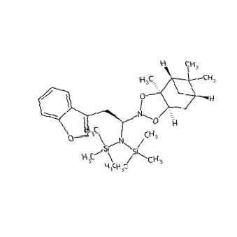 CC1(C)[C@@H]2C[C@H]3ON([C@H](Cc4coc5ccccc45)N([Si](C)(C)C)[Si](C)(C)C)O[C@@]3(C)[C@H]1C2